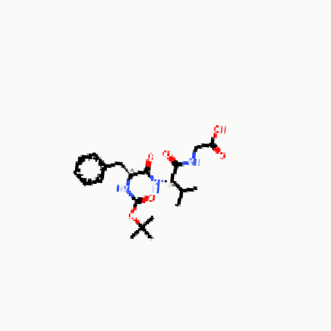 CC(C)[C@H](NC(=O)[C@H](Cc1ccccc1)NC(=O)OC(C)(C)C)C(=O)NCC(=O)O